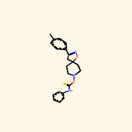 Cc1ccc(C2=NOC3(CCN(OC(=S)Nc4ccccc4)CC3)C2)cc1